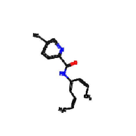 C\C=C/C=C(\C=C/C)NC(=O)c1ccc(C#N)cn1